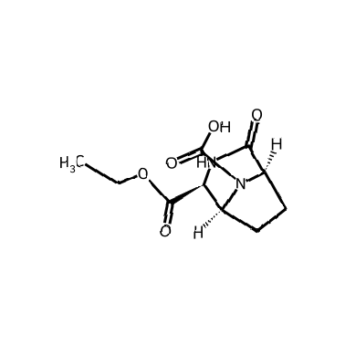 CCOC(=O)[C@H]1NC(=O)[C@H]2CC[C@@H]1N2C(=O)O